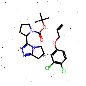 C=CCOc1ccc(Cl)c(Cl)c1[C@@H]1Cc2nnc(C3CCCN3C(=O)OC(C)(C)C)n2C1